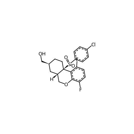 O=S(=O)(c1ccc(Cl)cc1)[C@]12CC[C@H](CO)C[C@H]1COc1c(F)ccc(F)c12